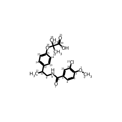 COc1ccc(C(=O)NCC(C)c2ccc(OC(C)(C)C(=O)O)cc2)cc1Cl